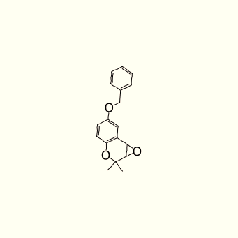 CC1(C)Oc2ccc(OCc3ccccc3)cc2C2OC21